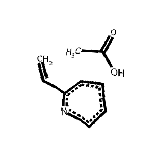 C=Cc1ccccn1.CC(=O)O